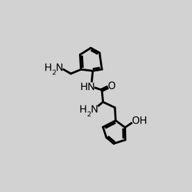 NCc1ccccc1NC(=O)C(N)Cc1ccccc1O